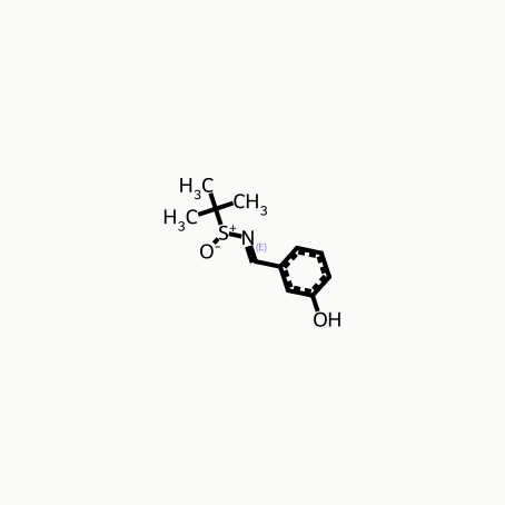 CC(C)(C)[S+]([O-])/N=C/c1cccc(O)c1